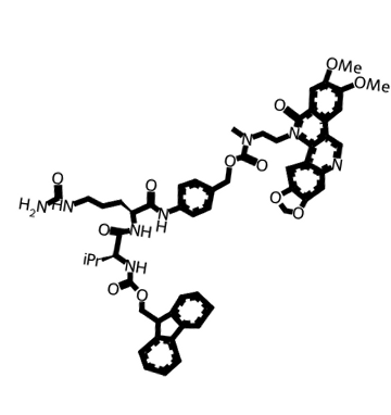 COc1cc2c(=O)n(CCN(C)C(=O)OCc3ccc(NC(=O)[C@H](CCCNC(N)=O)NC(=O)[C@@H](NC(=O)OCC4c5ccccc5-c5ccccc54)C(C)C)cc3)c3c4cc5c(cc4ncc3c2cc1OC)OCO5